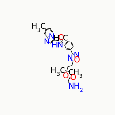 Cc1ccn2c(C(=O)Nc3cc(-c4noc(CCC(C)(C)OC(=O)CN)n4)ccc3C)cnc2c1